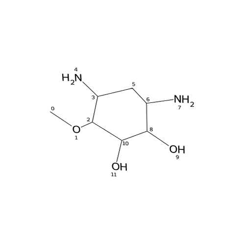 COC1C(N)CC(N)C(O)C1O